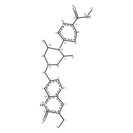 CCc1cc2ncc(CN3CC(C)N(c4ccc(C(=O)NC)nc4)C(C)C3)cc2[nH]c1=O